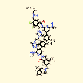 CCNc1cc(-c2cc(C#N)ccc2-c2nncn2CCn2cnnc2-c2ccc(C#N)cc2-c2cc(NCC)nc(N3Cc4c(cc(CNCCOC)c(F)c4F)C3=O)c2)cc(N2Cc3c(cc(CN(CC)CC4(C#N)CCCC4)cc3C(F)(F)F)C2=O)n1